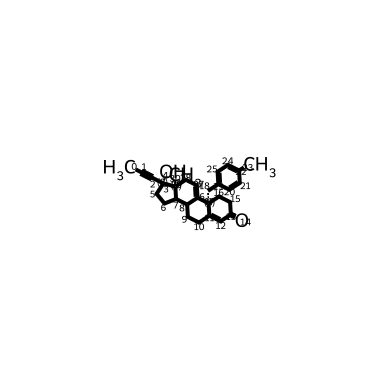 CC#C[C@]1(O)CCC2C3CCC4=CC(=O)CC[C@]4(Cc4ccc(C)cc4)C3=CC[C@@]21C